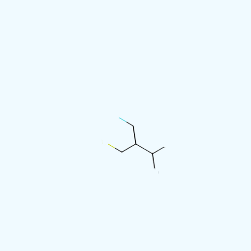 CCC(CC)C(CF)CS